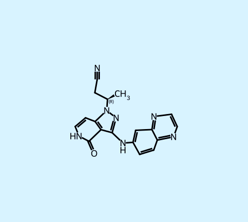 C[C@H](CC#N)n1nc(Nc2ccc3nccnc3c2)c2c(=O)[nH]ccc21